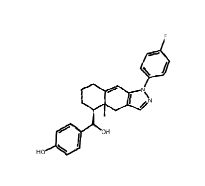 CC12Cc3cnn(-c4ccc(F)cc4)c3C=C1CCC[C@@H]2C(O)c1ccc(O)cc1